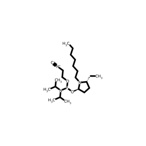 [C-]#[N+]CCOP(O[C@@H]1CC[C@@H](CC)N1CCCCCCC)N(C(C)C)C(C)C